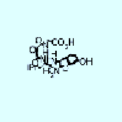 CC(C)C[C@H](NC(=O)C1O[C@H]1C(=O)NCC(=O)O)C(=O)N[C@@H](Cc1ccc(O)cc1)C(N)=O